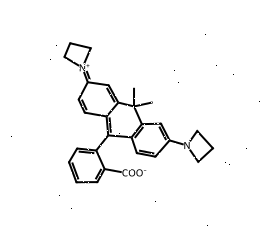 CC1(C)C2=CC(=[N+]3CCC3)C=CC2=C(c2ccccc2C(=O)[O-])c2ccc(N3CCC3)cc21